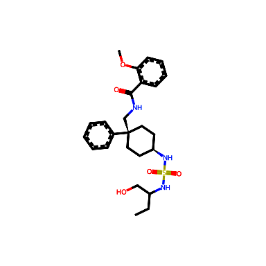 CCC(CO)NS(=O)(=O)N[C@H]1CC[C@](CNC(=O)c2ccccc2OC)(c2ccccc2)CC1